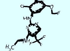 CCNc1nc(Nc2cc(OCF)[c]cc2Cl)ncc1C(F)(F)F